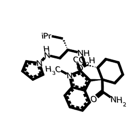 CC(C)C[C@@H](CNn1cccc1)NC(=O)[C@@H]1CCCC[C@@]1(C(N)=O)c1c(C(=O)O)n(C)c2ccccc12